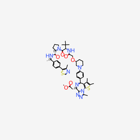 COC(=O)C[C@@H]1N=C(c2ccc(N3CCCC(OCC(=O)NC(C(=O)N4CCC[C@H]4C(=O)N[C@@H](C)c4ccc(-c5scnc5C)cc4)C(C)(C)C)C3)cc2)c2c(sc(C)c2C)-n2c(C)nnc21